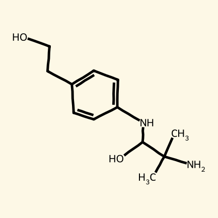 CC(C)(N)C(O)Nc1ccc(CCO)cc1